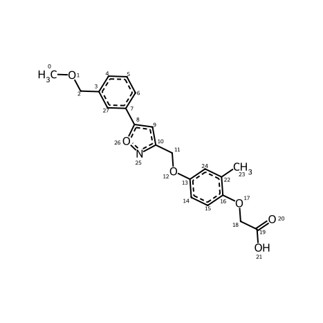 COCc1cccc(-c2cc(COc3ccc(OCC(=O)O)c(C)c3)no2)c1